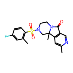 Cc1cc2c(cn1)C(=O)N1CCN(S(=O)(=O)c3ccc(F)cc3C)CC21C